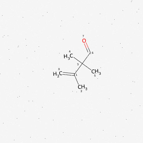 C=C(C)C(C)(C)[C]=O